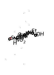 CCc1cc(-c2cccc(O)c2)ccc1CN1CCN(c2ccc(C(=O)NS(=O)(=O)c3ccc(NCCSc4ccccc4)c([N+](=O)[O-])c3)nn2)CC1